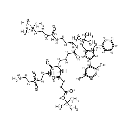 CC(C)(C)OC(=O)CCC(=O)N[C@@H](CSCC(=O)N(CCCNC(=O)OCC[Si](C)(C)C)[C@@H](c1cc(-c2cc(F)ccc2F)cn1Cc1ccccc1)C(C)(C)C)C(=O)NCCS(=O)(=O)CCN